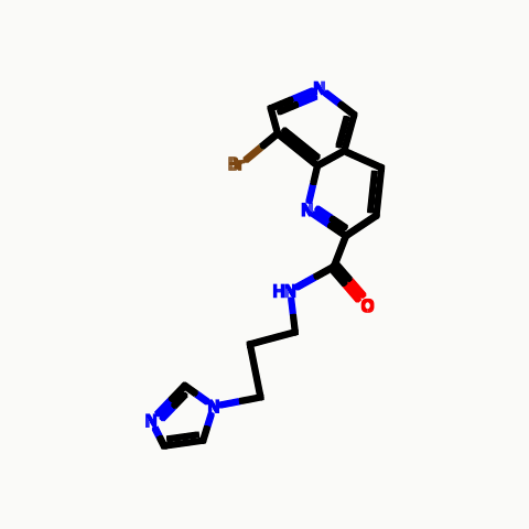 O=C(NCCCn1ccnc1)c1ccc2cncc(Br)c2n1